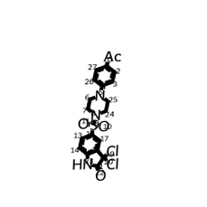 CC(=O)c1ccc(N2CCN(S(=O)(=O)c3ccc4c(c3)C(Cl)(Cl)C(=O)N4)CC2)cc1